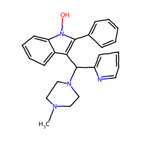 CN1CCN(C(c2ccccn2)c2c(-c3ccccc3)n(O)c3ccccc23)CC1